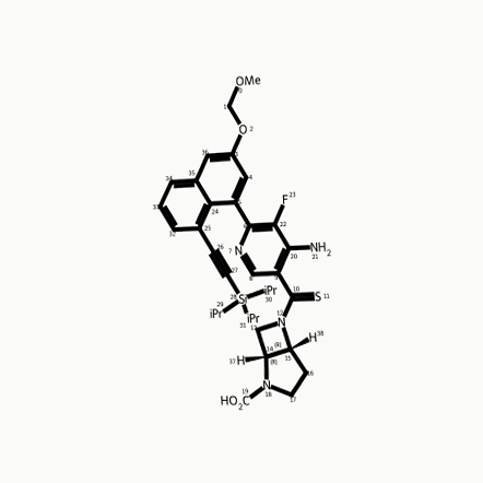 COCOc1cc(-c2ncc(C(=S)N3C[C@@H]4[C@H]3CCN4C(=O)O)c(N)c2F)c2c(C#C[Si](C(C)C)(C(C)C)C(C)C)cccc2c1